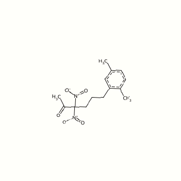 CC(=O)C(CCCc1cc(C)ccc1C)([N+](=O)[O-])[N+](=O)[O-]